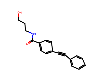 O=C(NCCCO)c1ccc(C#Cc2ccccc2)cc1